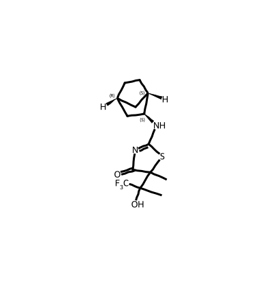 CC1(C(C)(O)C(F)(F)F)SC(N[C@H]2C[C@@H]3CC[C@H]2C3)=NC1=O